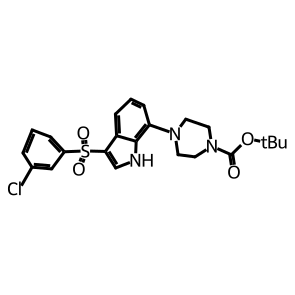 CC(C)(C)OC(=O)N1CCN(c2cccc3c(S(=O)(=O)c4cccc(Cl)c4)c[nH]c23)CC1